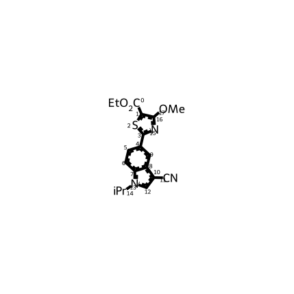 CCOC(=O)c1sc(-c2ccc3c(c2)c(C#N)cn3C(C)C)nc1OC